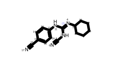 N#CN/C(=N\C1CCCCC1)Nc1ccc(C#N)cc1